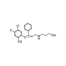 N#Cc1cc(F)c(Cl)cc1O[C@H](CCNCCCO)c1ccccc1